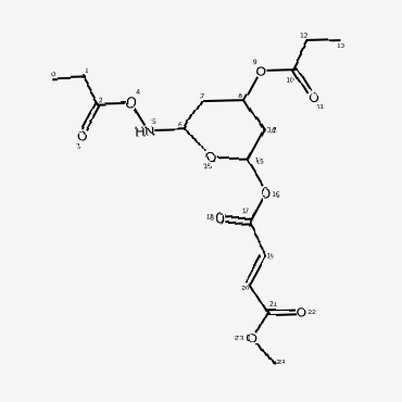 CCC(=O)ONC1CC(OC(=O)CC)CC(OC(=O)/C=C/C(=O)OC)O1